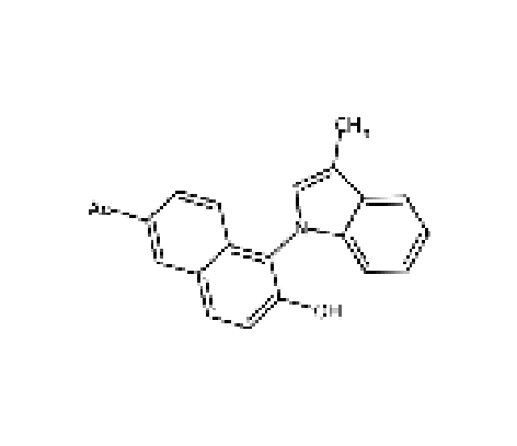 CC(=O)c1ccc2c(-n3cc(C)c4ccccc43)c(O)ccc2c1